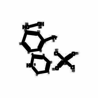 C1=CCNC=C1.CC(C)c1ccccc1.O=S(=O)(Cl)Cl.OO